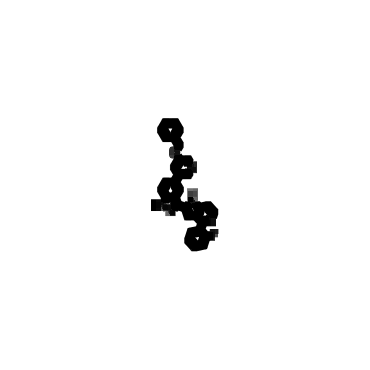 Fc1ccccc1-c1nccc2[nH]c(-c3n[nH]c4ccc(-c5cncc(OCc6ccccc6)c5)cc34)cc12